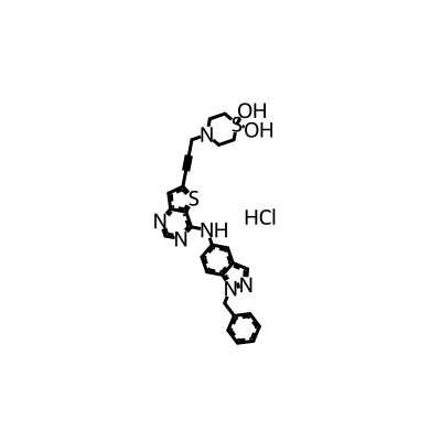 Cl.OS1(O)CCN(CC#Cc2cc3ncnc(Nc4ccc5c(cnn5Cc5ccccc5)c4)c3s2)CC1